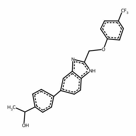 CC(O)c1ccc(-c2ccc3[nH]c(COc4ccc(C(F)(F)F)cc4)nc3c2)cc1